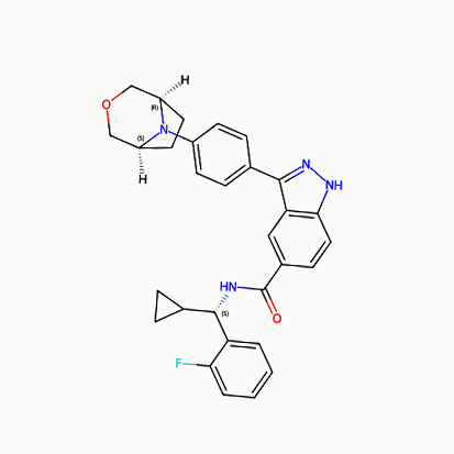 O=C(N[C@H](c1ccccc1F)C1CC1)c1ccc2[nH]nc(-c3ccc(N4[C@@H]5CC[C@H]4COC5)cc3)c2c1